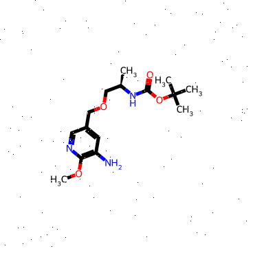 COc1ncc(COC[C@@H](C)NC(=O)OC(C)(C)C)cc1N